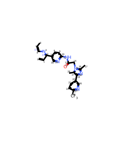 C=C/C(=N\C=C/C)c1ccc(NC(=O)Cn2c(C)nc(-c3ccc(C(F)(F)F)nc3)c2C)nc1